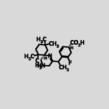 CC(C1=N[C@]2(CNC1)CC(C)(C)CCC2(C)C)C1=C(F)C[C@@H](C(=O)O)C=C1